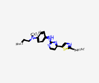 COCCN(C(=O)O)c1ccc(Nc2nccc(-c3cnc(NC(C)=O)s3)n2)cc1